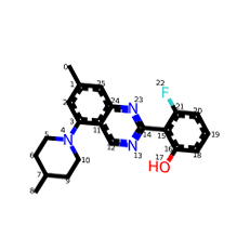 Cc1cc(N2CCC(C)CC2)c2cnc(-c3c(O)cccc3F)nc2c1